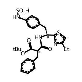 CCc1csc([C@H](Cc2ccc(NS(=O)(=O)O)cc2)NC(=O)[C@@H](Cc2ccccc2)C(=O)OC(C)(C)C)n1